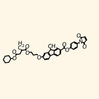 C=C(CC(=O)OC1CCCCC1)C(=O)OCCCOc1ccc2c(c1)C(C)c1cc(C(=O)Oc3ccc(N4C(=O)C=CC4=O)cc3)ccc1-2